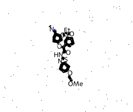 CCS(=O)(=O)c1cccc(C(Oc2ccc(/C=N/C)cc2)C(=O)Nc2nc3ccc(OCCOC)cc3s2)c1